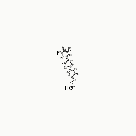 OCCCc1ccc(-c2ccc(-c3cc(F)c(F)c(F)c3)cc2)cc1